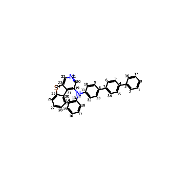 c1ccc(-c2ccc(-c3ccc(N(c4ccccc4)c4cncc5sc6ccccc6c45)cc3)cc2)cc1